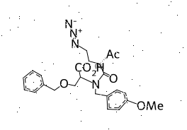 COc1ccc(CN(C(=O)[C@H](CCN=[N+]=[N-])C(C)=O)C(COCc2ccccc2)C(=O)O)cc1